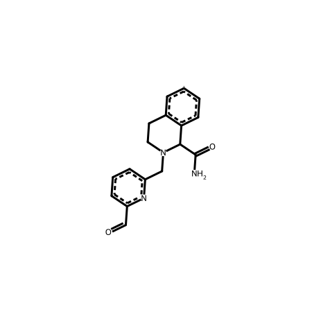 NC(=O)C1c2cc[c]cc2CCN1Cc1cccc(C=O)n1